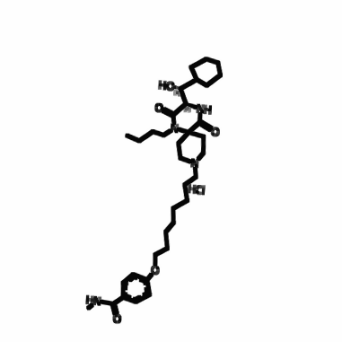 CCCCN1C(=O)[C@@H]([C@H](O)C2CCCCC2)NC(=O)C12CCN(CCCCCCCCOc1ccc(C(=O)NC)cc1)CC2.Cl